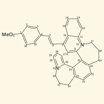 COc1ccc(/C=C/c2cc3[n+](c4ccccc24)CCCc2ccc4c(c2-3)-c2cccc[n+]2CCC4)cc1